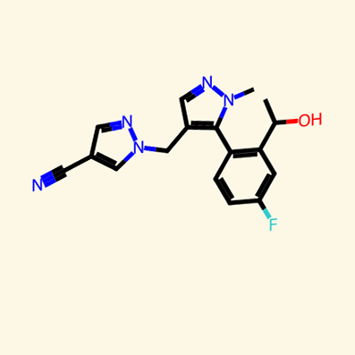 CC(O)c1cc(F)ccc1-c1c(Cn2cc(C#N)cn2)cnn1C